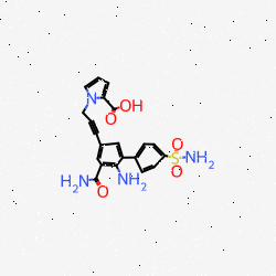 NC(=O)c1cc(C#CCn2cccc2C(=O)O)cc(-c2ccc(S(N)(=O)=O)cc2)c1N